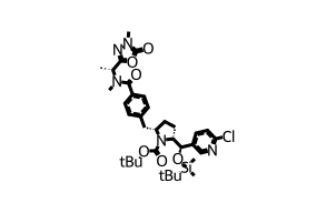 C[C@H](c1nn(C)c(=O)o1)N(C)C(=O)c1ccc(C[C@@H]2CC[C@H]([C@H](O[Si](C)(C)C(C)(C)C)c3ccc(Cl)nc3)N2C(=O)OC(C)(C)C)cc1